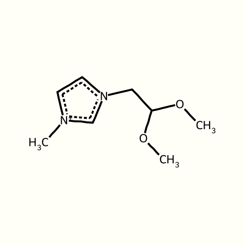 COC(Cn1cc[n+](C)c1)OC